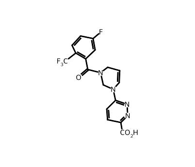 O=C(O)c1ccc(N2C=CCN(C(=O)c3cc(F)ccc3C(F)(F)F)C2)nn1